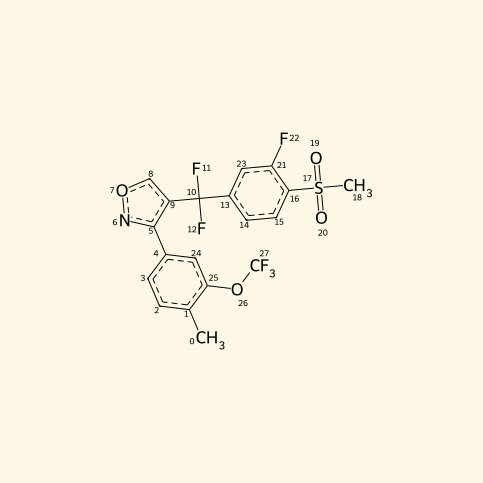 Cc1ccc(-c2nocc2C(F)(F)c2ccc(S(C)(=O)=O)c(F)c2)cc1OC(F)(F)F